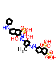 Cc1cc(N=Nc2c(S(=O)(=O)O)cc3cc(Nc4ccccc4)ccc3c2O)c(O)cc1N=Nc1ccc2cc(S(=O)(=O)O)cc(S(=O)(=O)O)c2c1